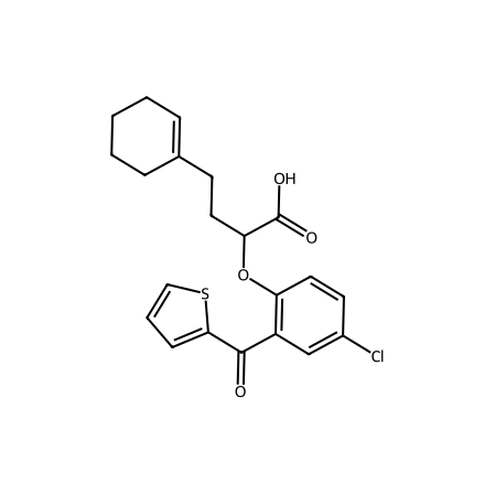 O=C(c1cccs1)c1cc(Cl)ccc1OC(CCC1=CCCCC1)C(=O)O